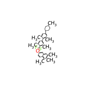 Cc1cc2cc(OC(F)(F)c3c(C)cc(-c4c(C)cc(C5CCC(C)CC5)cc4C)cc3C)ccc2c(C)c1C